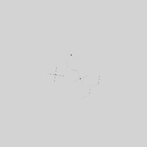 CC(C)(C)[CH2][Ga]([CH2]C(C)(C)C)[CH2]C(C)(C)C.CCOCC